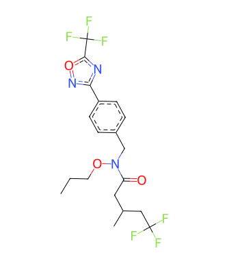 CCCON(Cc1ccc(-c2noc(C(F)(F)F)n2)cc1)C(=O)CC(C)CC(F)(F)F